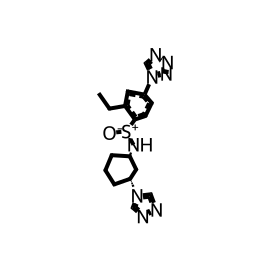 CCc1cc(-n2cnnn2)ccc1[S+]([O-])N[C@H]1CCC[C@@H](n2cnnc2)C1